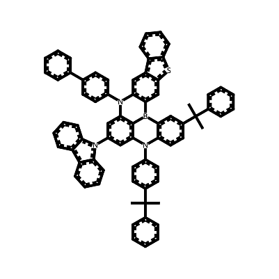 CC(C)(c1ccccc1)c1ccc(N2c3ccc(C(C)(C)c4ccccc4)cc3B3c4cc5sc6ccccc6c5cc4N(c4ccc(-c5ccccc5)cc4)c4cc(-n5c6ccccc6c6ccccc65)cc2c43)cc1